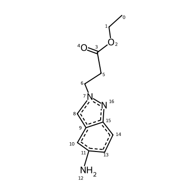 CCOC(=O)CCn1cc2cc(N)ccc2n1